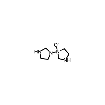 [O-][N+]1(N2CCNC2)CCNC1